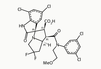 COCCN(C(=O)[C@H]1[C@H]2CC(F)(F)CN2[C@]2(C(=O)Nc3c(Cl)cc(Cl)cc32)[C@H]1C(=O)O)c1cc(Cl)cc(Cl)c1